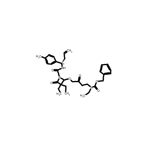 C=CC[C@@H](NC(=O)N1C(=O)C(CC)(CC)C1OCC(=O)CCN(CC)C(=O)OCc1ccccc1)c1ccc(C)cc1